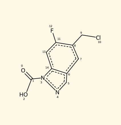 O=C(O)n1ncc2cc(CCl)c(F)cc21